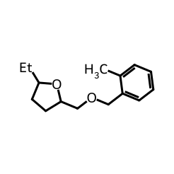 CCC1CCC(COCc2ccccc2C)O1